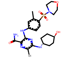 CCc1nc(C(N)=O)c(Nc2ccc(S(=O)(=O)N3CCOCC3)c(C)c2)nc1N[C@H]1CC[C@H](O)CC1